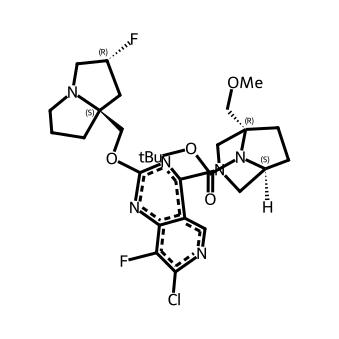 COC[C@@]12CC[C@@H](CN(c3nc(OC[C@@]45CCCN4C[C@H](F)C5)nc4c(F)c(Cl)ncc34)C1)N2C(=O)OC(C)(C)C